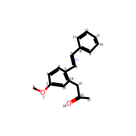 COc1ccc(/C=C/c2ccccc2)c(CC(C)=O)c1